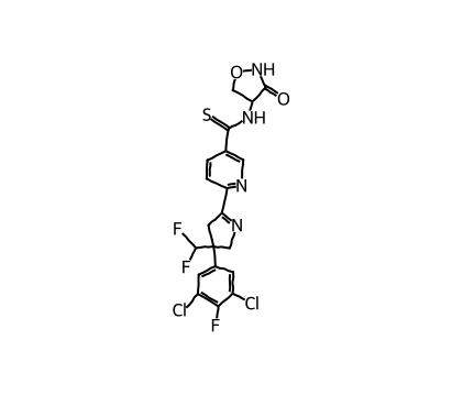 O=C1NOCC1NC(=S)c1ccc(C2=NCC(c3cc(Cl)c(F)c(Cl)c3)(C(F)F)C2)nc1